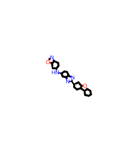 c1ccc2c(c1)oc1cc(C3N=c4ccc(Nc5ccc6ncoc6c5)cc4=N3)ccc12